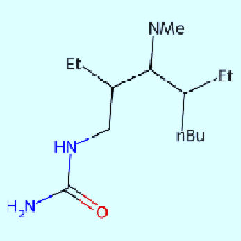 CCCCC(CC)C(NC)C(CC)CNC(N)=O